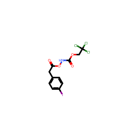 O=C(Cc1ccc(I)cc1)ONC(=O)OCC(Cl)(Cl)Cl